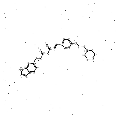 O=C(C=Cc1ccc(CCCN2CCOCC2)cc1)CC(=O)C=Cc1ccc2cc[nH]c2c1